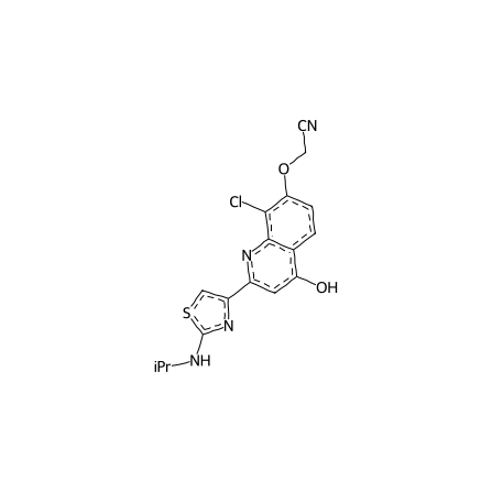 CC(C)Nc1nc(-c2cc(O)c3ccc(OCC#N)c(Cl)c3n2)cs1